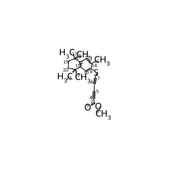 COC(=O)C#CC#CSc1cc2c(cc1C)C(C)(C)CCC2(C)C